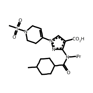 CC1CCC(C(=O)N(c2nn(C3=CCN(S(C)(=O)=O)CC3)cc2C(=O)O)C(C)C)CC1